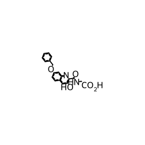 O=C(O)CNC(=O)c1nc2cc(OCc3ccccc3)ccc2cc1O